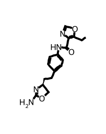 CCc1ocnc1C(=O)Nc1ccc(CC[C@H]2COC(N)=N2)cc1